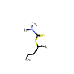 CCCCCCCCCCC(SC(=S)N(CC)CC)C(C)=O